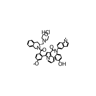 COc1ccc(C(=O)N2Cc3ccccc3C[C@H]2CN2CCOCC2)c(-c2cc(C(=O)N(c3ccc(O)cc3)c3ccc4c(ccn4C)c3)c3ccccn23)c1.Cl